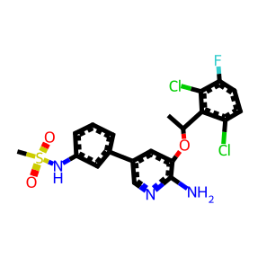 CC(Oc1cc(-c2cccc(NS(C)(=O)=O)c2)cnc1N)c1c(Cl)ccc(F)c1Cl